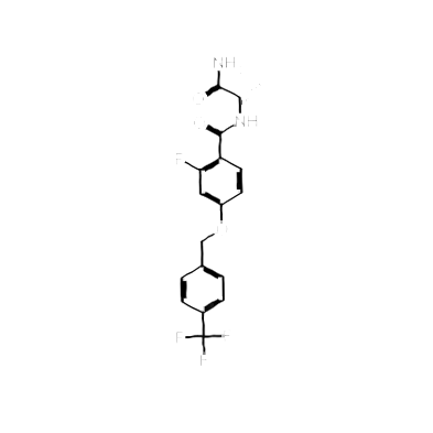 C[C@H](NC(=O)c1ccc(OCc2ccc(C(F)(F)F)cc2)cc1F)C(N)=O